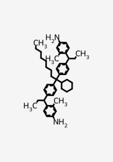 CCCCCCCCC(c1ccc(C(CC)c2ccc(N)cc2C)cc1)(c1ccc(C(CC)c2ccc(N)cc2C)cc1)C1CCCCC1